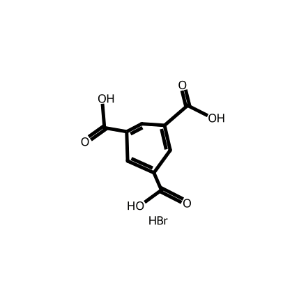 Br.O=C(O)c1cc(C(=O)O)cc(C(=O)O)c1